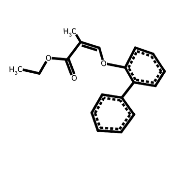 CCOC(=O)C(C)=COc1ccccc1-c1ccccc1